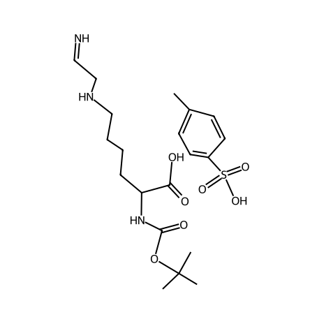 CC(C)(C)OC(=O)NC(CCCCNCC=N)C(=O)O.Cc1ccc(S(=O)(=O)O)cc1